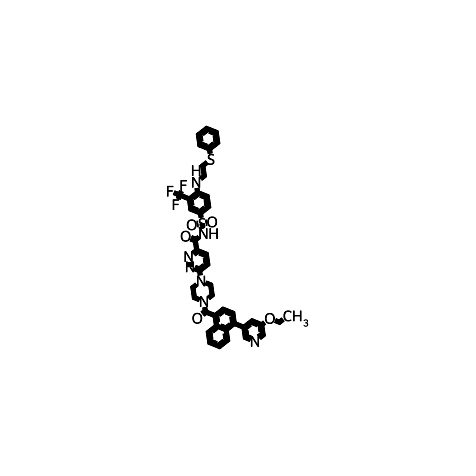 CCOc1cncc(-c2ccc(C(=O)N3CCN(c4ccc(C(=O)NS(=O)(=O)c5ccc(NCCSc6ccccc6)c(C(F)(F)F)c5)nn4)CC3)c3ccccc23)c1